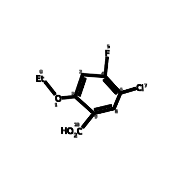 CCOc1cc(F)c(Cl)cc1C(=O)O